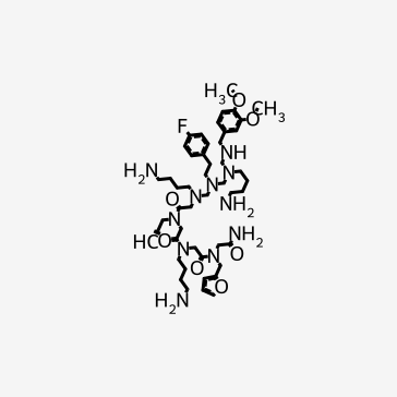 C#CCN(CC(=O)N(CCCCN)CC(=O)N(CC(N)=O)Cc1ccco1)C(=O)CN(CCCCN)CN(CCc1ccc(F)cc1)CN(CCCCN)CNCc1ccc(OC)c(OC)c1